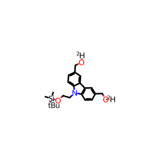 [2H]OCc1ccc2c(c1)c1cc(CO[2H])ccc1n2CCO[Si](C)(C)C(C)(C)C